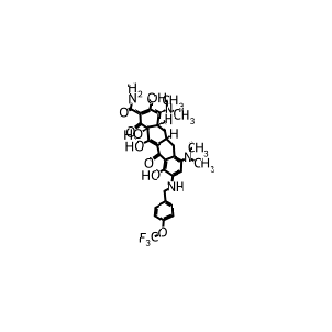 CN(C)c1cc(NCc2ccc(OC(F)(F)F)cc2)c(O)c2c1C[C@H]1C[C@H]3[C@H](N(C)C)C(O)=C(C(N)=O)C(=O)[C@@]3(O)C(O)=C1C2=O